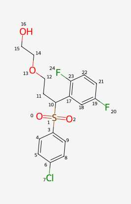 O=S(=O)(c1ccc(Cl)cc1)C(CCOCCO)c1cc(F)ccc1F